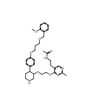 COc1ccccc1COCCCOc1ccc(C2CCNCC2OCCOc2nc(C)ncc2CCNC(C)=O)cc1